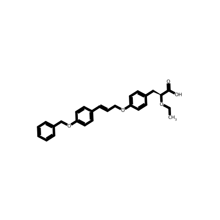 CCO[C@@H](Cc1ccc(OC/C=C/c2ccc(OCc3ccccc3)cc2)cc1)C(=O)O